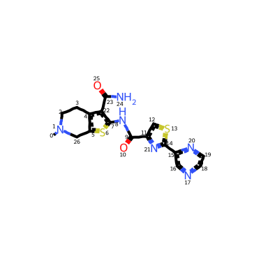 CN1CCc2c(sc(NC(=O)c3csc(-c4cnccn4)n3)c2C(N)=O)C1